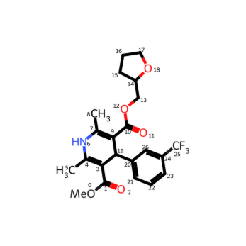 COC(=O)C1=C(C)NC(C)=C(C(=O)OCC2CCCO2)C1c1cccc(C(F)(F)F)c1